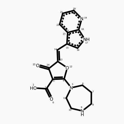 O=C(O)C1=C(N2CCCNCC2)O/C(=C\c2c[nH]c3ncccc23)C1=O